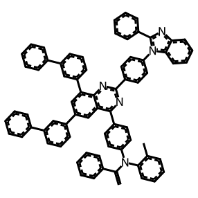 C=C(c1ccccc1)N(c1ccc(-c2nc(-c3ccc(-n4c(-c5ccccc5)nc5ccccc54)cc3)nc3c(-c4cccc(-c5ccccc5)c4)cc(-c4cccc(-c5ccccc5)c4)cc23)cc1)c1ccccc1C